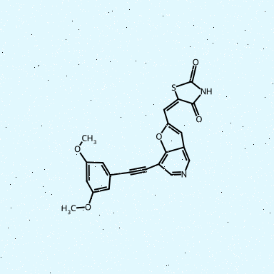 COc1cc(C#Cc2cncc3cc(/C=C4/SC(=O)NC4=O)oc23)cc(OC)c1